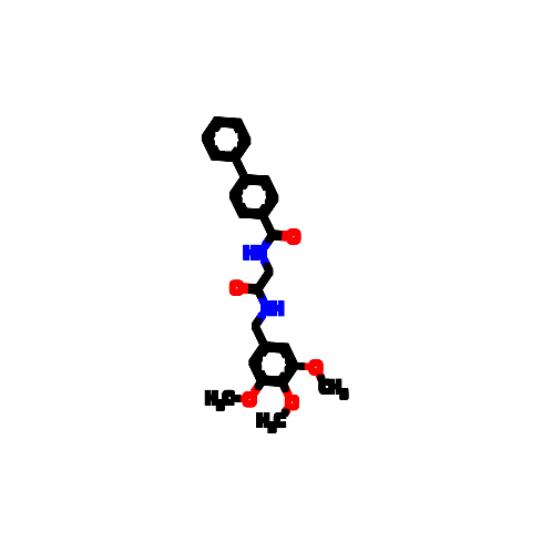 COc1cc(CNC(=O)CNC(=O)c2ccc(-c3ccccc3)cc2)cc(OC)c1OC